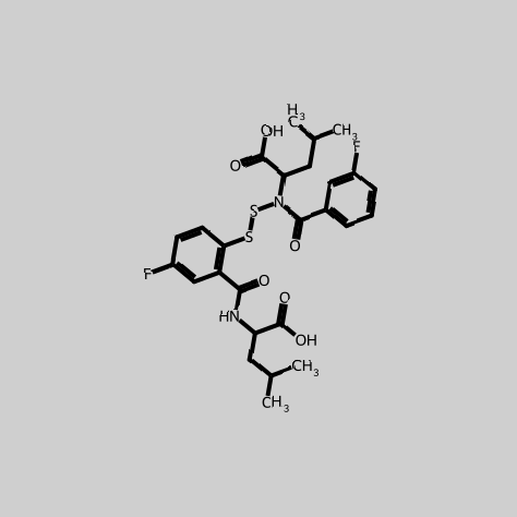 CC(C)CC(NC(=O)c1cc(F)ccc1SSN(C(=O)c1cccc(F)c1)C(CC(C)C)C(=O)O)C(=O)O